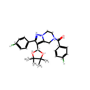 CC1(C)OB(c2c(-c3ccc(F)cc3)nn3c2CN(C(=O)c2ccc(F)cc2)CC3)OC1(C)C